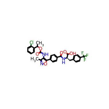 Cc1noc(-c2ccc(C(=O)N[C@H](Cc3ccc(C(F)(F)F)cc3)C(=O)O)cc2)c1NC(=O)OC(C)c1ccccc1Cl